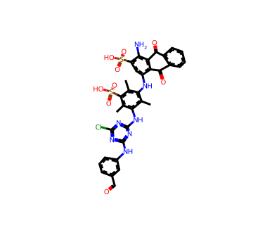 Cc1c(Nc2nc(Cl)nc(Nc3cccc(C=O)c3)n2)c(C)c(S(=O)(=O)O)c(C)c1Nc1cc(S(=O)(=O)O)c(N)c2c1C(=O)c1ccccc1C2=O